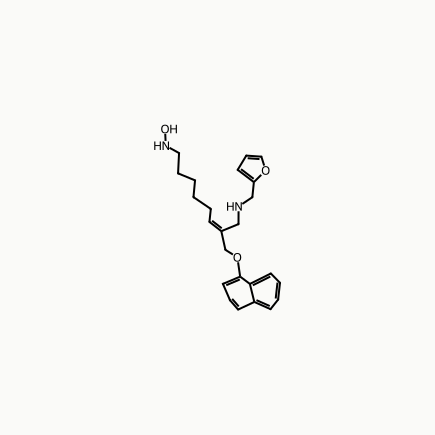 ONCCCCC/C=C(\CNCc1ccco1)COc1cccc2ccccc12